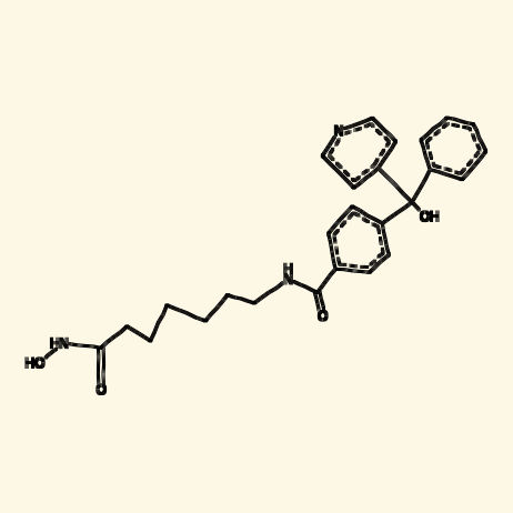 O=C(CCCCCCNC(=O)c1ccc(C(O)(c2ccccc2)c2ccncc2)cc1)NO